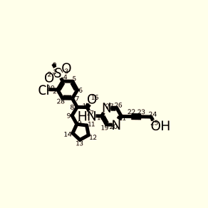 CS(=O)(=O)c1ccc(C(CC2CCCC2)C(=O)Nc2cnc(C#CCO)cn2)cc1Cl